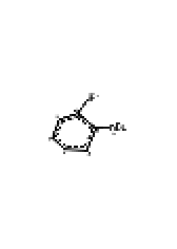 CCC[CH]c1ccccc1C(C)C